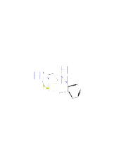 Nc1c[c]ccc1C[SH]1CCNCC1